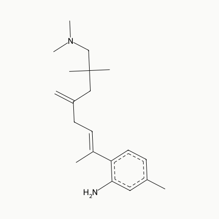 C=C(C/C=C(\C)c1ccc(C)cc1N)CC(C)(C)CN(C)C